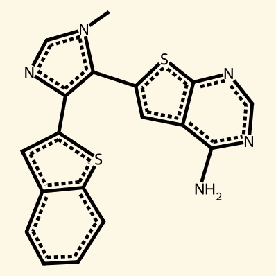 Cn1cnc(-c2cc3ccccc3s2)c1-c1cc2c(N)ncnc2s1